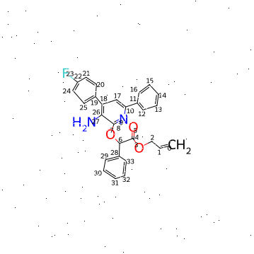 C=CCOC(=O)C(Oc1nc(-c2ccccc2)cc(-c2ccc(F)cc2)c1N)c1ccccc1